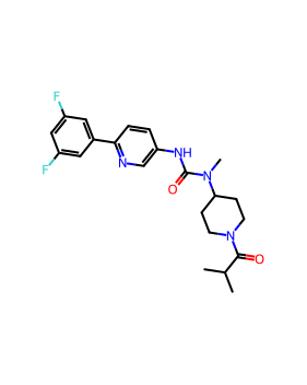 CC(C)C(=O)N1CCC(N(C)C(=O)Nc2ccc(-c3cc(F)cc(F)c3)nc2)CC1